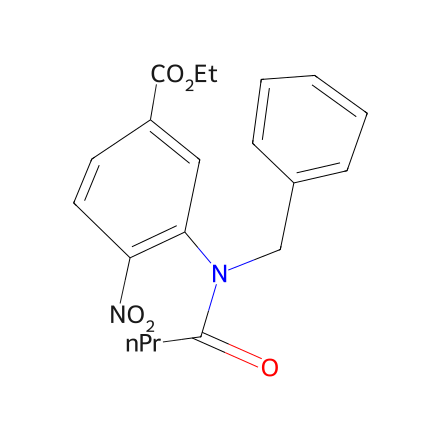 CCCC(=O)N(Cc1ccccc1)c1cc(C(=O)OCC)ccc1[N+](=O)[O-]